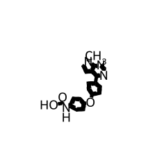 Cn1ccc2c(-c3ccc(Oc4ccc(NC(=O)O)cc4)cc3)ncnc21